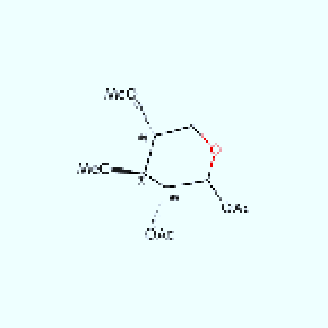 CO[C@H]1[C@H](OC)COC(OC(C)=O)[C@@H]1OC(C)=O